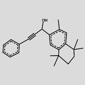 Cc1cc2c(cc1C(O)C#Cc1cc[c]cc1)C(C)(C)CCC2(C)C